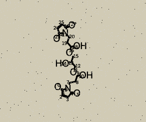 O=C1C=CC(=O)N1CCC(O)OCC(O)COC(O)CCN1C(=O)C=CC1=O